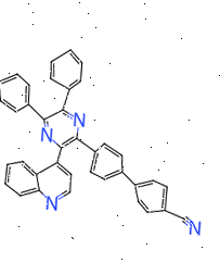 N#Cc1ccc(-c2ccc(-c3nc(-c4ccccc4)c(-c4ccccc4)nc3-c3ccnc4ccccc34)cc2)cc1